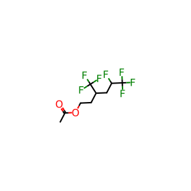 CC(=O)OCCC(CC(F)C(F)(F)F)C(F)(F)F